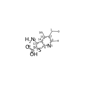 CCc1c(C)nc2sc(C(=O)O)c(N)c2c1C